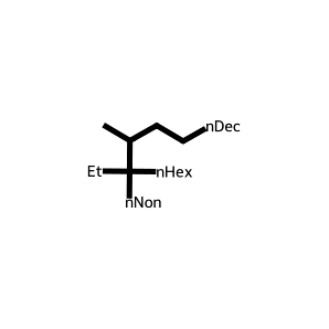 CCCCCCCCCCCC[C](C)C(CC)(CCCCCC)CCCCCCCCC